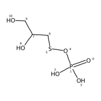 O=P(O)(O)OSCC(O)CO